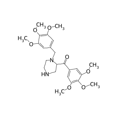 COc1cc(CN2CCNCC2C(=O)c2cc(OC)c(OC)c(OC)c2)cc(OC)c1OC